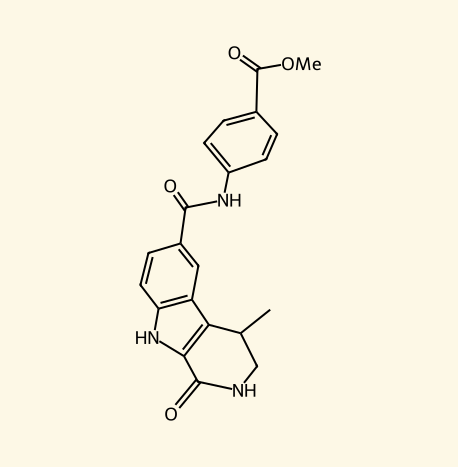 COC(=O)c1ccc(NC(=O)c2ccc3[nH]c4c(c3c2)C(C)CNC4=O)cc1